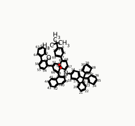 CC(C)(C)c1ccc(-c2ccc(N(c3ccc4c(c3)-c3ccccc3C4(c3ccccc3)c3ccccc3)c3ccc4ccccc4c3-c3cccc(-c4cccc5c4oc4ccccc45)c3)cc2)cc1